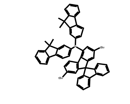 CC(C)(C)c1ccc2c(c1)C1(c3ccccc3-c3ccccc31)c1cc(C(C)(C)C)cc(N(c3ccc4c(c3)C(C)(C)c3ccccc3-4)c3ccc4c(c3)C(C)(C)c3ccccc3-4)c1-2